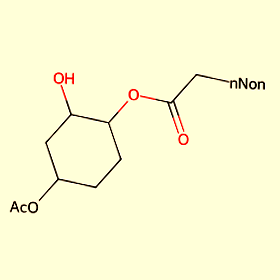 CCCCCCCCCCC(=O)OC1CCC(OC(C)=O)CC1O